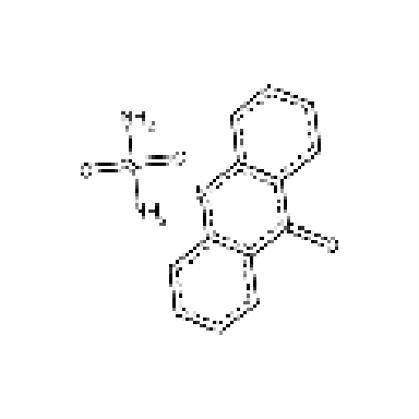 NS(N)(=O)=O.O=c1c2ccccc2sc2ccccc12